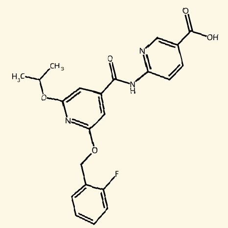 CC(C)Oc1cc(C(=O)Nc2ccc(C(=O)O)cn2)cc(OCc2ccccc2F)n1